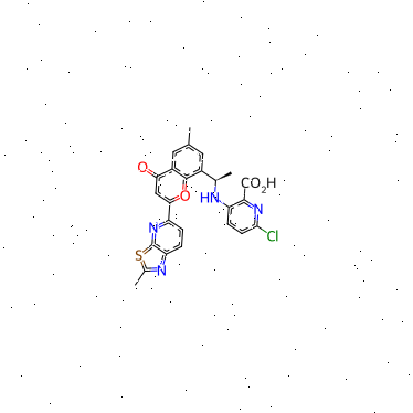 Cc1cc([C@@H](C)Nc2ccc(Cl)nc2C(=O)O)c2oc(-c3ccc4nc(C)sc4n3)cc(=O)c2c1